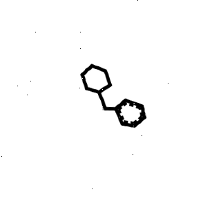 [C](c1ccccc1)C1CCCCC1